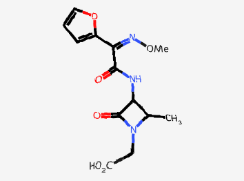 CON=C(C(=O)NC1C(=O)N(CC(=O)O)C1C)c1ccco1